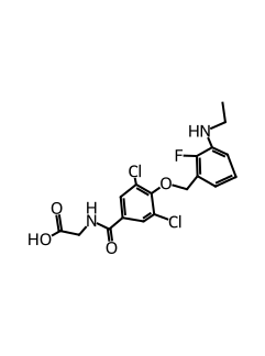 CCNc1cccc(COc2c(Cl)cc(C(=O)NCC(=O)O)cc2Cl)c1F